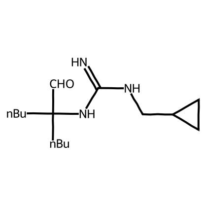 CCCCC(C=O)(CCCC)NC(=N)NCC1CC1